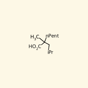 CCCCCC(C)(CC(C)C)C(=O)O